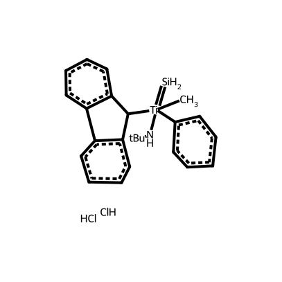 CC(C)(C)[NH][Ti]([CH3])(=[SiH2])([c]1ccccc1)[CH]1c2ccccc2-c2ccccc21.Cl.Cl